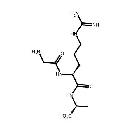 C[C@H](NC(=O)[C@H](CCCNC(=N)N)NC(=O)CN)C(=O)O